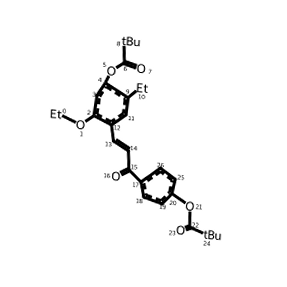 CCOc1cc(OC(=O)C(C)(C)C)c(CC)cc1C=CC(=O)c1ccc(OC(=O)C(C)(C)C)cc1